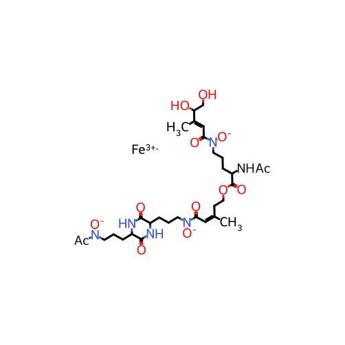 CC(=O)NC(CCCN([O-])C(=O)/C=C(\C)C(O)CO)C(=O)OCC/C(C)=C\C(=O)N([O-])CCCC1NC(=O)C(CCCN([O-])C(C)=O)NC1=O.[Fe+3]